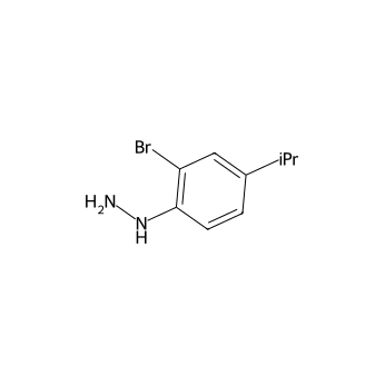 CC(C)c1ccc(NN)c(Br)c1